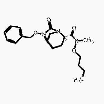 CCCCON(C)C(=O)[C@@H]1CCC2CN1C(=O)N2OCc1ccccc1